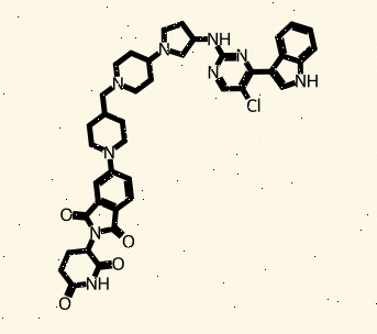 O=C1CCC(N2C(=O)c3ccc(N4CCC(CN5CCC(N6CCC(Nc7ncc(Cl)c(-c8c[nH]c9ccccc89)n7)C6)CC5)CC4)cc3C2=O)C(=O)N1